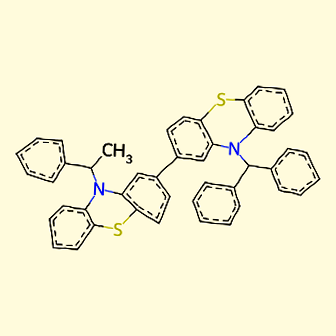 CC(c1ccccc1)N1c2ccccc2Sc2ccc(-c3ccc4c(c3)N(C(c3ccccc3)c3ccccc3)c3ccccc3S4)cc21